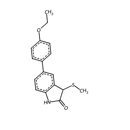 CCOc1ccc(-c2ccc3c(c2)C(SC)C(=O)N3)cc1